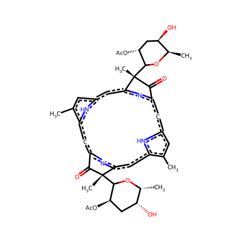 CC(=O)O[C@@H]1C[C@@H](O)[C@@H](C)OC1[C@]1(C)C(=O)c2cc3cc(C)c(cc4nc(cc5[nH]c(cc1n2)cc5C)C(=O)[C@@]4(C)C1O[C@H](C)[C@H](O)C[C@H]1OC(C)=O)[nH]3